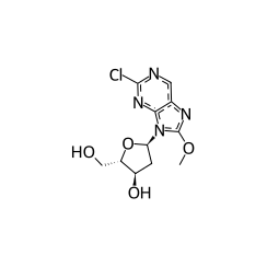 COc1nc2cnc(Cl)nc2n1[C@H]1C[C@@H](O)[C@H](CO)O1